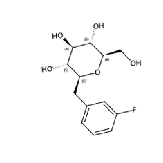 OC[C@H]1O[C@@H](Cc2cccc(F)c2)[C@H](O)[C@@H](O)[C@@H]1O